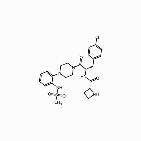 CS(=O)(=O)Nc1ccccc1N1CCN(C(=O)[C@@H](Cc2ccc(Cl)cc2)NC(=O)[C@H]2CCN2)CC1